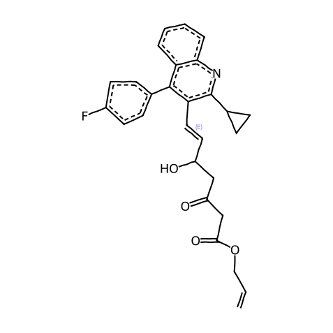 C=CCOC(=O)CC(=O)CC(O)/C=C/c1c(C2CC2)nc2ccccc2c1-c1ccc(F)cc1